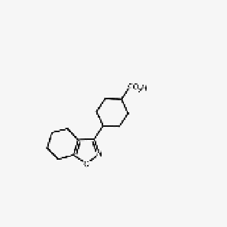 O=C(O)C1CCC(c2noc3c2CCCC3)CC1